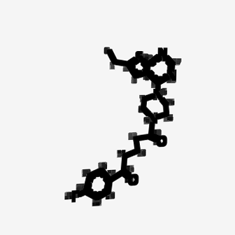 CCc1cc2c(N3CCN(C(=O)CCCC(=O)c4ccc(F)cc4)CC3)ncnc2s1